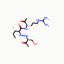 CC[C@H](C)C(NN[C@@H](CO)C(C)=O)C(=O)N[C@@H](CCCNC(N)N)C(C)=O